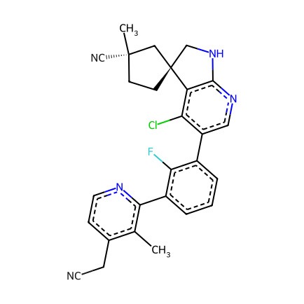 Cc1c(CC#N)ccnc1-c1cccc(-c2cnc3c(c2Cl)[C@@]2(CC[C@](C)(C#N)C2)CN3)c1F